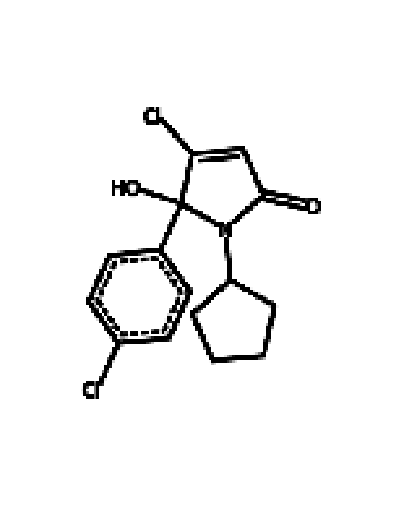 O=C1C=C(Cl)C(O)(c2ccc(Cl)cc2)N1C1CCCC1